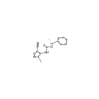 C#Cc1onc(C)c1NC(=O)O[C@H](C)c1ccccc1